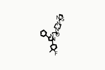 Cc1cc(-c2cc(-c3ccccc3)n(CC(=O)N3CCN(c4nccs4)CC3)n2)ccc1F